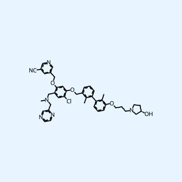 Cc1c(COc2cc(OCc3cncc(C#N)c3)c(CN(C)Cc3cnccn3)cc2Cl)cccc1-c1cccc(OCCCN2CC[C@@H](O)C2)c1C